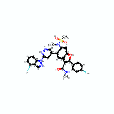 CNC(=O)c1c(-c2ccc(F)cc2)oc2cc(N(C)S(C)(=O)=O)c(-c3cnnc(-n4ncc5c(F)cccc54)c3)cc12